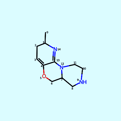 CC1CC=C2OCC3CNCCN3C2=N1